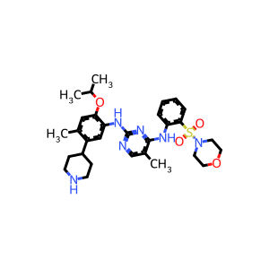 Cc1cc(OC(C)C)c(Nc2ncc(C)c(Nc3ccccc3S(=O)(=O)N3CCOCC3)n2)cc1C1CCNCC1